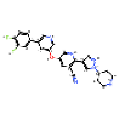 N#Cc1cc(Oc2cncc(-c3ccc(F)c(F)c3)c2)cnc1-c1cnn(C2CCNCC2)c1